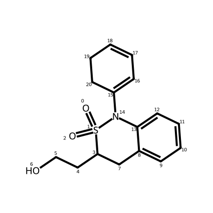 O=S1(=O)C(CCO)Cc2ccccc2N1C1=CC=CCC1